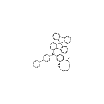 CC1/C=C\C=C/COc2cc(N(c3ccc(-c4ccccc4)cc3)c3cccc4c3-c3ccccc3C43c4ccccc4-c4ccccc43)ccc21